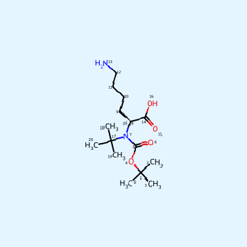 CC(C)(C)OC(=O)N([C@@H](CCCCN)C(=O)O)C(C)(C)C